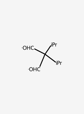 CC(C)C([C]=O)([C]=O)C(C)C